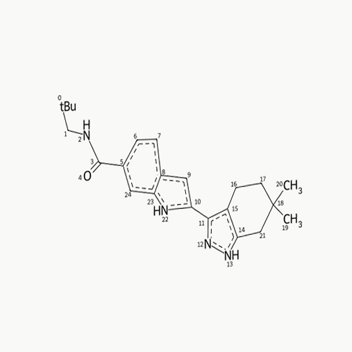 CC(C)(C)CNC(=O)c1ccc2cc(-c3n[nH]c4c3CCC(C)(C)C4)[nH]c2c1